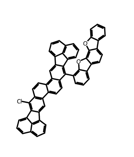 Clc1c2c(cc3c1ccc1c4cc5c(c(-c6cccc7c6oc6c7ccc7c8ccccc8oc76)c4ccc31)-c1cccc3cccc-5c13)-c1cccc3cccc-2c13